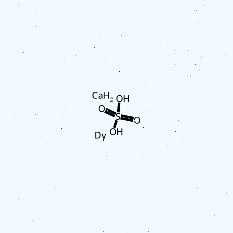 O=S(=O)(O)O.[CaH2].[Dy]